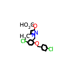 Cc1cc(OC(=O)O)nn1Cc1cc(Cl)ccc1OCc1ccc(Cl)cc1